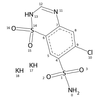 NS(=O)(=O)c1cc2c(cc1Cl)N=CNS2(=O)=O.[KH].[KH]